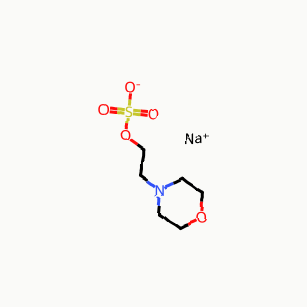 O=S(=O)([O-])OCCN1CCOCC1.[Na+]